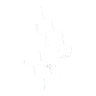 O=C(O)c1ccc(Cc2cc(Cl)ccc2OCc2cc(F)c(F)cc2F)o1